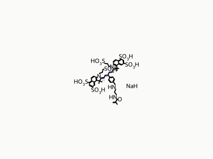 C=C(C)C(=O)NCCCNCc1ccc(C(=C\C=C2/N(CCCS(=O)(=O)O)c3ccc4c(S(=O)(=O)O)cc(S(=O)(=O)O)cc4c3C2(C)C)/C=C/C2=[N+](CCCS(=O)(=O)O)c3ccc4c(S(=O)(=O)O)cc(S(=O)(=O)O)cc4c3C2(C)C)cc1.[NaH]